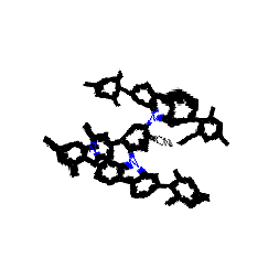 Cc1cc(C)c(-c2ccc3c4ccc(-c5c(C)cc(C)cc5C)cc4n(-c4cc(-c5cc(C)nc(C)c5)c(-n5c6cc(-c7c(C)cc(C)cc7C)ccc6c6ccc(-c7c(C)cc(C)cc7C)cc65)cc4C#N)c3c2)c(C)c1